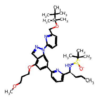 CCC[C@H](N[S+]([O-])C(C)(C)C)c1cccc(-c2cc(OCCCOC)c3cnn(-c4cccc(CO[Si](C)(C)C(C)(C)C)n4)c3c2)n1